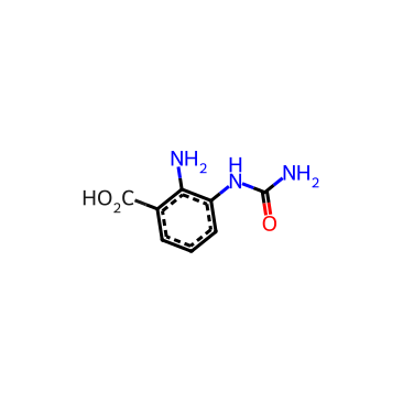 NC(=O)Nc1cccc(C(=O)O)c1N